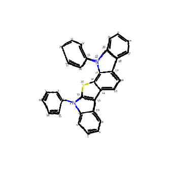 c1ccc(-n2c3ccccc3c3c4ccc5c6ccccc6n(-c6ccccc6)c5c4sc32)cc1